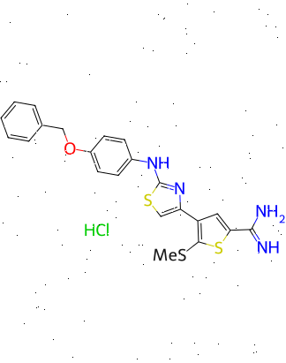 CSc1sc(C(=N)N)cc1-c1csc(Nc2ccc(OCc3ccccc3)cc2)n1.Cl